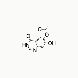 CC(=O)Oc1cc2c(=O)[nH]cnc2cc1O